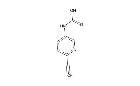 C#Cc1ccc(NC(=O)O)cn1